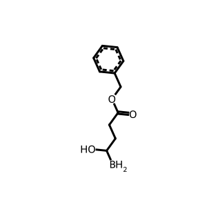 BC(O)CCC(=O)OCc1ccccc1